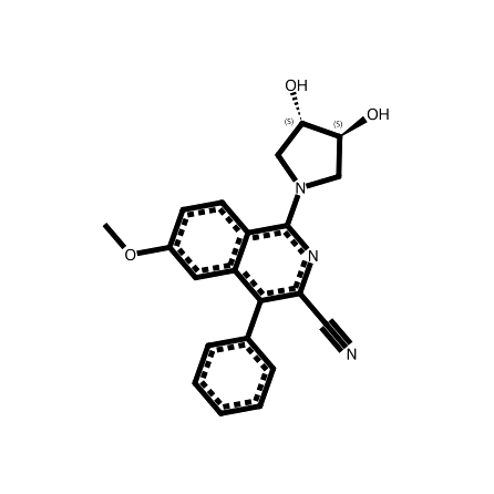 COc1ccc2c(N3C[C@H](O)[C@@H](O)C3)nc(C#N)c(-c3ccccc3)c2c1